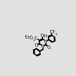 CCOC(=O)c1c(O)n(-c2cccc(C(F)(F)F)c2)c(=O)n(Cc2ccccc2)c1=O